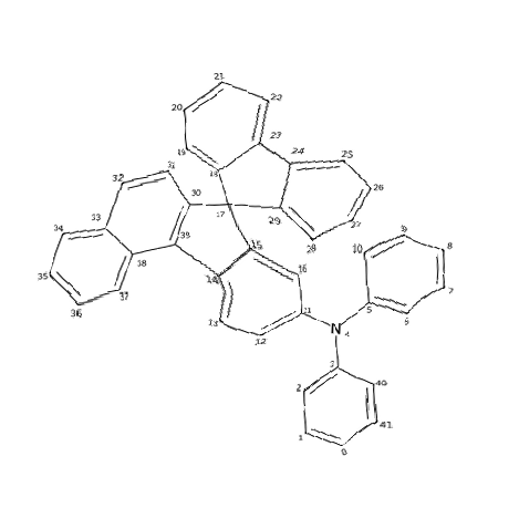 c1ccc(N(c2ccccc2)c2ccc3c(c2)C2(c4ccccc4-c4ccccc42)c2ccc4ccccc4c2-3)cc1